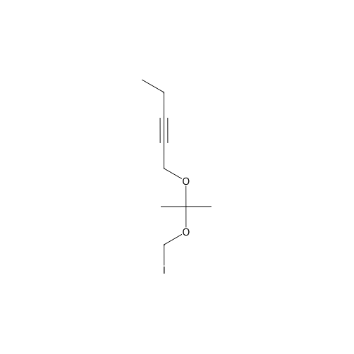 CCC#CCOC(C)(C)OCI